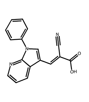 N#C/C(=C\c1cn(-c2ccccc2)c2ncccc12)C(=O)O